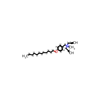 C#CC[N+](C)(CC#C)Cc1ccc(OCCCCCCCCCCCC)cc1